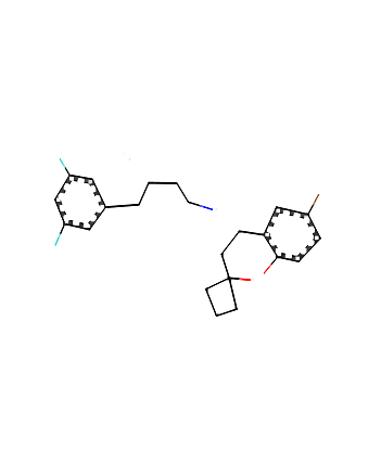 CC(=O)N[C@@H](Cc1cc(F)cc(F)c1)[C@H](O)CN[C@H]1CC2(CCC2)Oc2ccc(Br)cc21